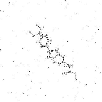 CCC(=O)Nc1ccc2oc(-c3ccc(N(CC)CC)cc3)nc2c1